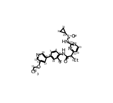 CCC(C(=O)Nc1ccc(-c2cncc(OCC(F)(F)F)c2)cc1F)c1ccnc(N[S+]([O-])C2CC2)n1